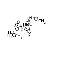 Cc1ccc(CN2CCO[C@@H](C(=O)N[C@@H](Cc3ccc(F)cc3)[C@H](O)CN[C@H]3CC4(CCC4)Oc4ncc(CC(C)(C)C)cc43)C2)cc1